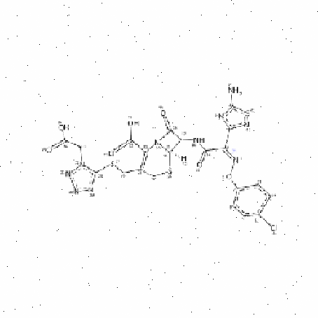 Nc1nc(/C(=N/Oc2ccc(Cl)cc2)C(=O)NC2C(=O)N3C(C(=O)O)=C(CSc4nnnn4CC(=O)O)CS[C@H]23)ns1